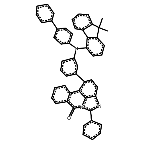 CC1(C)c2ccccc2-c2c(N(c3ccc(-c4ccccc4)cc3)c3cccc(-c4ccc5nc(-c6ccccc6)n6c(=O)c7ccccc7c4c56)c3)cccc21